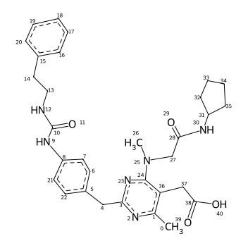 Cc1nc(Cc2ccc(NC(=O)NCCc3ccccc3)cc2)nc(N(C)CC(=O)NC2CCCC2)c1CC(=O)O